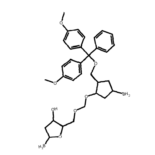 BC1CC(COC(c2ccccc2)(c2ccc(OC)cc2)c2ccc(OC)cc2)C(OCOCC2OC(B)CC2O)C1